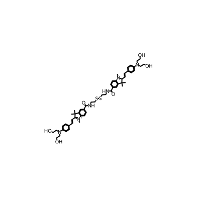 CN1c2ccc(C(=O)NCCSSCCNC(=O)c3ccc4c(c3)C(C)(C)C(/C=C/c3ccc(N(CCO)CCO)cc3)=[N+]4C)cc2C(C)(C)C1/C=C/c1ccc(N(CCO)CCO)cc1